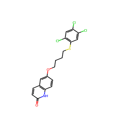 O=c1ccc2cc(OCCCCSc3cc(Cl)c(Cl)cc3Cl)ccc2[nH]1